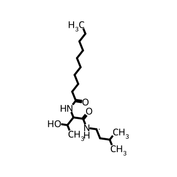 CCCCCCCCCC(=O)NC(C(=O)N[CH]CC(C)C)C(C)O